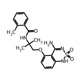 Cc1ccccc1C(=O)NC(C)(C)COc1cccc2c1C(N)=NS(=O)(=O)N2